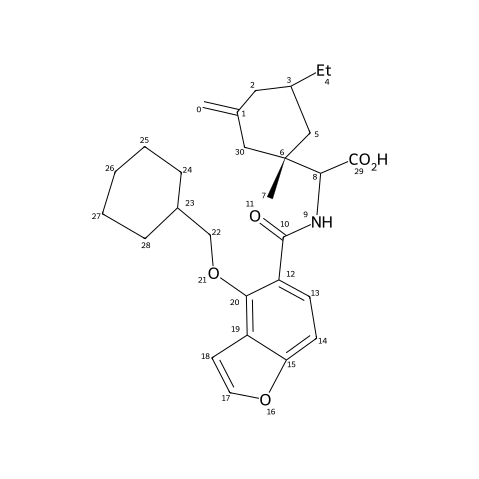 C=C1CC(CC)C[C@](C)(C(NC(=O)c2ccc3occc3c2OCC2CCCCC2)C(=O)O)C1